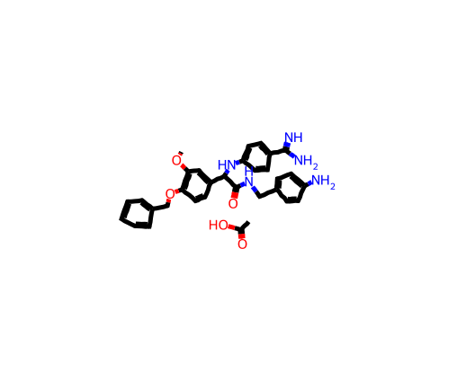 CC(=O)O.COc1cc(C(Nc2ccc(C(=N)N)cc2)C(=O)NCc2ccc(N)cc2)ccc1OCc1ccccc1